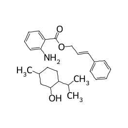 CC1CCC(C(C)C)C(O)C1.Nc1ccccc1C(=O)OCC=Cc1ccccc1